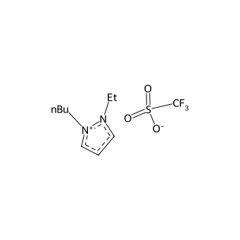 CCCC[n+]1cccn1CC.O=S(=O)([O-])C(F)(F)F